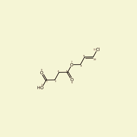 O=C(O)CCC(=O)OCC=CCl